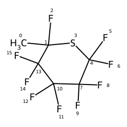 CC1(F)SC(F)(F)C(F)(F)C(F)(F)C1(F)F